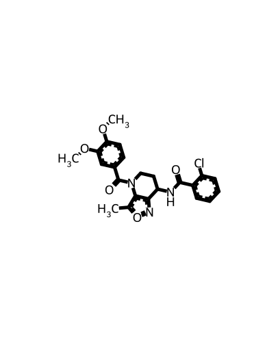 COc1ccc(C(=O)N2CCC(NC(=O)c3ccccc3Cl)c3noc(C)c32)cc1OC